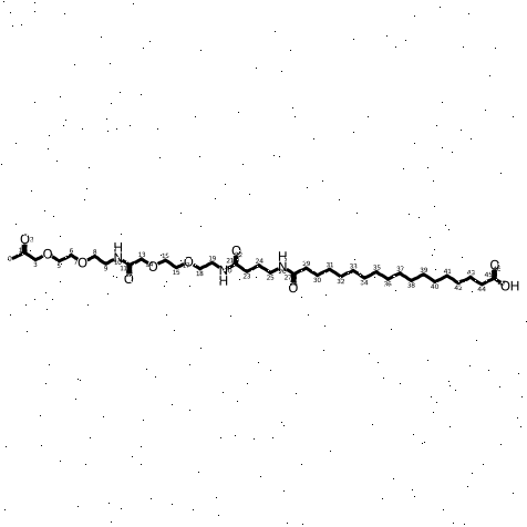 CC(=O)COCCOCCNC(=O)COCCOCCNC(=O)CCCNC(=O)CCCCCCCCCCCCCCCCC(=O)O